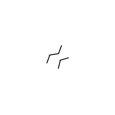 C[CH]C.C[CH]CC